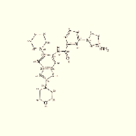 N[C@H]1CCN(c2cccc(C(=O)Nc3cc4sc(N5CCOCC5)nc4nc3N3CCCCC3)n2)C1